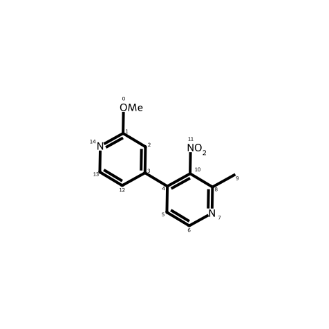 COc1cc(-c2ccnc(C)c2[N+](=O)[O-])ccn1